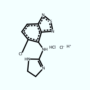 Cl.Clc1ccc2nsnc2c1NC1=NCCN1.[Cl-].[H+]